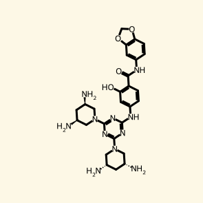 N[C@@H]1C[C@H](N)CN(c2nc(Nc3ccc(C(=O)Nc4ccc5c(c4)OCO5)c(O)c3)nc(N3C[C@H](N)C[C@H](N)C3)n2)C1